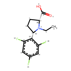 CCN1[C@@H](C(=O)O)CC[C@H]1c1c(F)cc(F)cc1F